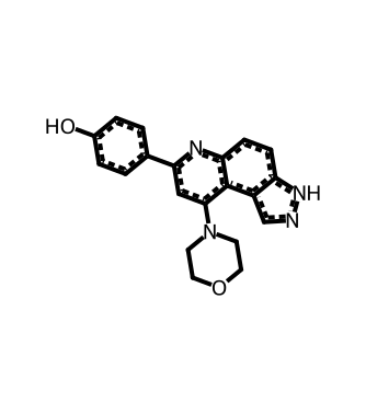 Oc1ccc(-c2cc(N3CCOCC3)c3c(ccc4[nH]ncc43)n2)cc1